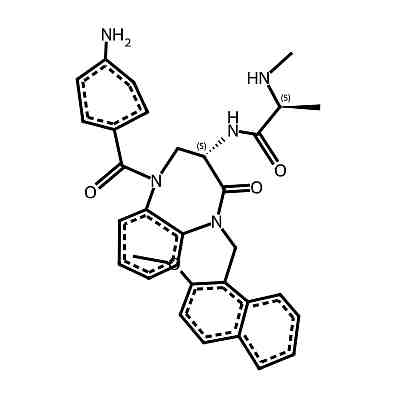 CN[C@@H](C)C(=O)N[C@H]1CN(C(=O)c2ccc(N)cc2)c2ccccc2N(Cc2c(OC)ccc3ccccc23)C1=O